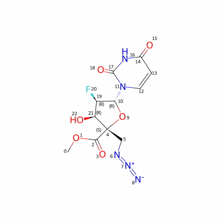 COC(=O)[C@@]1(CN=[N+]=[N-])O[C@@H](n2ccc(=O)[nH]c2=O)[C@H](F)[C@@H]1O